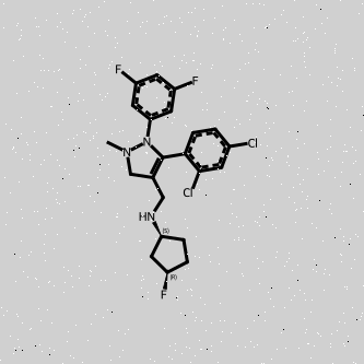 CN1CC(CN[C@H]2CC[C@@H](F)C2)=C(c2ccc(Cl)cc2Cl)N1c1cc(F)cc(F)c1